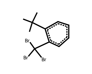 CC(C)(C)c1ccccc1C(Br)(Br)Br